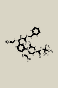 C=CC[C@H](NC(=O)OCc1ccccc1)c1cccc(N2C(=O)CN(C(=O)OC(C)(C)C)C[C@@H]2C(=O)O)c1